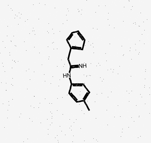 Cc1ccc(NC(=N)Cc2ccccc2)cc1